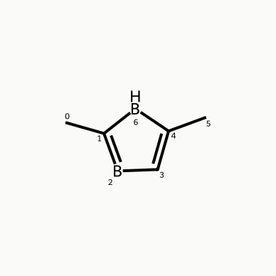 CC1=BC=C(C)B1